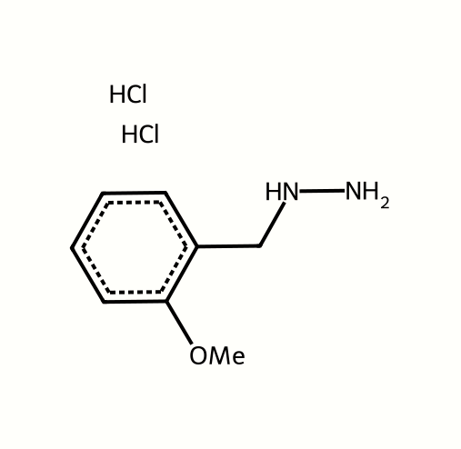 COc1ccccc1CNN.Cl.Cl